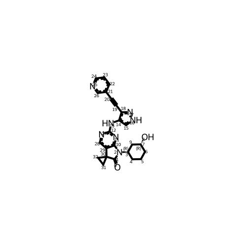 O=C1N([C@@H]2CCC[C@@H](O)C2)c2nc(Nc3c[nH]nc3C#Cc3cccnc3)ncc2C12CC2